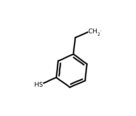 [CH2]Cc1cccc(S)c1